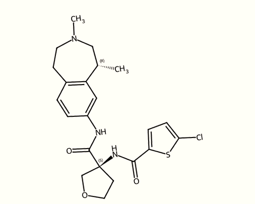 C[C@H]1CN(C)CCc2ccc(NC(=O)[C@]3(NC(=O)c4ccc(Cl)s4)CCOC3)cc21